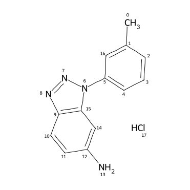 Cc1cccc(-n2nnc3ccc(N)cc32)c1.Cl